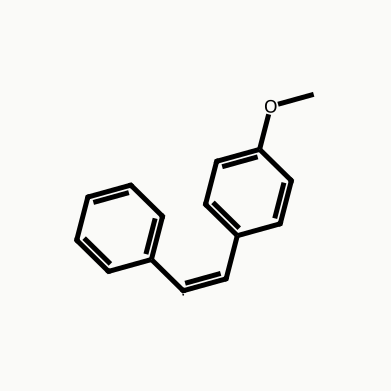 COc1ccc(/C=[C]\c2ccccc2)cc1